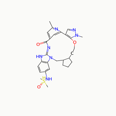 Cc1cc2cc(n1)-c1cnn(C)c1OCCC1CCCC1CN1/C(=N/C2=O)Nc2ccc(N[SH](C)(C)=O)cc21